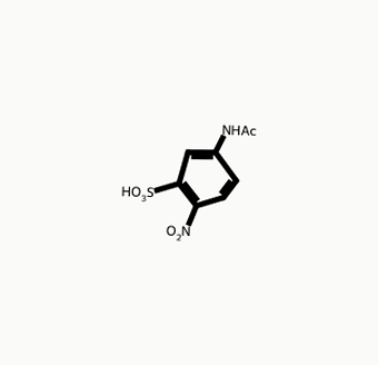 CC(=O)Nc1ccc([N+](=O)[O-])c(S(=O)(=O)O)c1